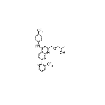 CC(O)COCc1cc(Nc2ccc(C(F)(F)F)cc2)c2ccc(-c3ncccc3C(F)(F)F)nc2n1